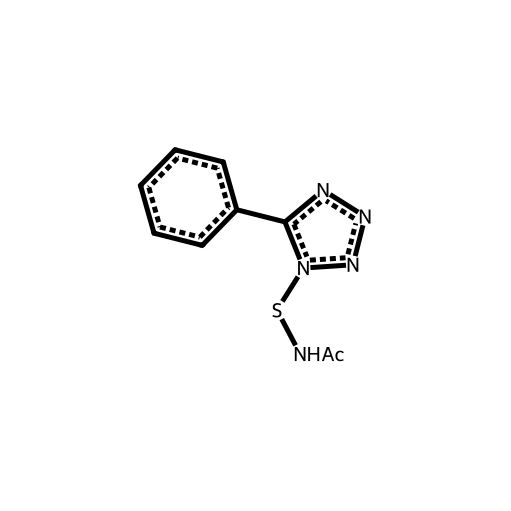 CC(=O)NSn1nnnc1-c1ccccc1